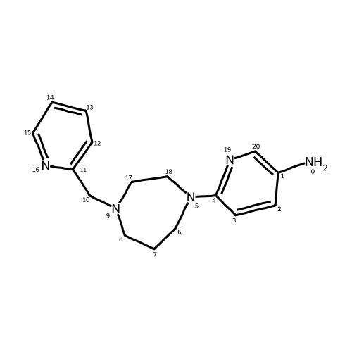 Nc1ccc(N2CCCN(Cc3ccccn3)CC2)nc1